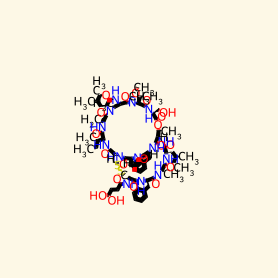 C=C1NC(=O)[C@H]([C@@H](C)CC)NC(=O)[C@H]2CSSC[C@H](NC(=O)CCC(O)O)C(=O)N[C@H](Cc3ccccc3)C(=O)N[C@H](C)C(=O)N[C@@H](C[C@@H](C)CC)C(=O)N[C@@H](C(=O)N[C@H](Cc3ccccc3)C(=O)N3CCC[C@H]3C(=O)N2)[C@@H](C)OC(=O)[C@H](CO)NC(=O)[C@H]([C@@H](C)OC)N(C)C(=O)C2NC(=O)[C@H](C[C@H](C)CC)N(C1=O)C2C